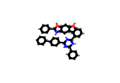 c1ccc(-c2ccc(-c3nc(-c4ccccc4)nc(-c4cccc5oc6cc7oc(-c8ccccc8)nc7cc6c45)n3)cc2)cc1